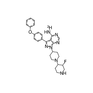 [2H]Nc1ncnc2c1c(-c1ccc(Oc3ccccc3)cc1)nn2C1CCN(C2CCNCC2F)CC1